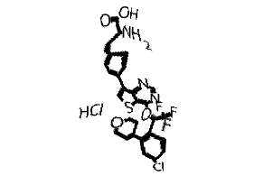 Cl.NC(Cc1ccc(-c2csc3c(OC(c4ccc(Cl)cc4C4=CCOCC4)C(F)(F)F)ncnc23)cc1)C(=O)O